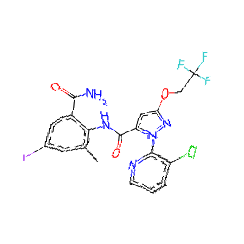 Cc1cc(I)cc(C(N)=O)c1NC(=O)c1cc(OCC(F)(F)F)nn1-c1ncccc1Cl